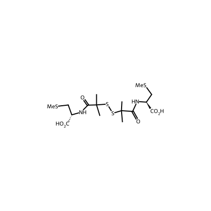 CSC[C@H](NC(=O)C(C)(C)SSC(C)(C)C(=O)N[C@@H](CSC)C(=O)O)C(=O)O